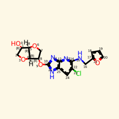 O[C@@H]1CO[C@H]2[C@@H]1OC[C@H]2Oc1nc2nc(NCc3ccco3)c(Cl)cc2[nH]1